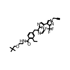 C#CCn1cc(-c2cnc3c(Cc4ccc(C(=O)NCCOCC(C)(C)C)c(CC)c4)nccn23)c(C(F)(F)F)n1